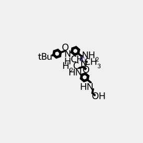 C=C(Nc1ccc(CNCCO)cc1)C(=O)N(C)/C=C(\N)c1cccc(NC(=O)c2ccc(C(C)(C)C)cc2)c1C